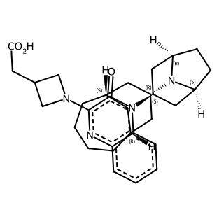 O=C(O)CC1CN(c2nc3ccccc3n([C@H]3C[C@H]4CC[C@@H](C3)N4[C@@H]3C[C@@H]4CCCC[C@@H](C4)C3)c2=O)C1